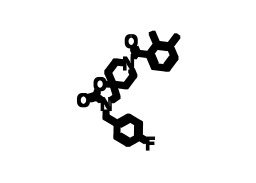 Cc1cccc(C(=O)N2CCC3(CC2)CN(Cc2ccc(F)cc2)C(=O)O3)c1C